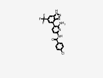 Nc1nc(NC(=O)c2ccc(Cl)cc2)ccc1-c1cc(C(F)(F)F)cc2[nH]nnc12